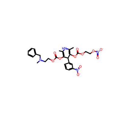 CC1=C(OC(=O)OCCO[N+](=O)[O-])C(c2cccc([N+](=O)[O-])c2)C(OC(=O)OCCN(C)Cc2ccccc2)=C(C)N1